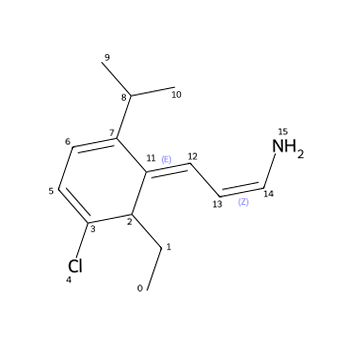 CCC1C(Cl)=CC=C(C(C)C)/C1=C/C=C\N